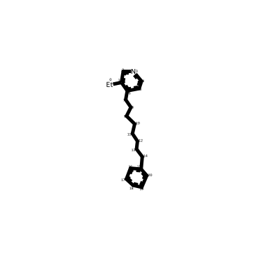 CCc1cnccc1CCCCCCCCc1ccccc1